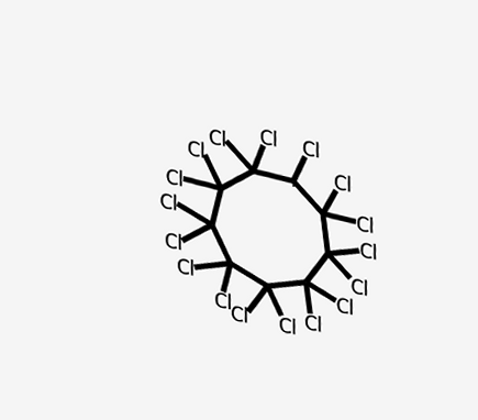 Cl[C]1C(Cl)(Cl)C(Cl)(Cl)C(Cl)(Cl)C(Cl)(Cl)C(Cl)(Cl)C(Cl)(Cl)C(Cl)(Cl)C1(Cl)Cl